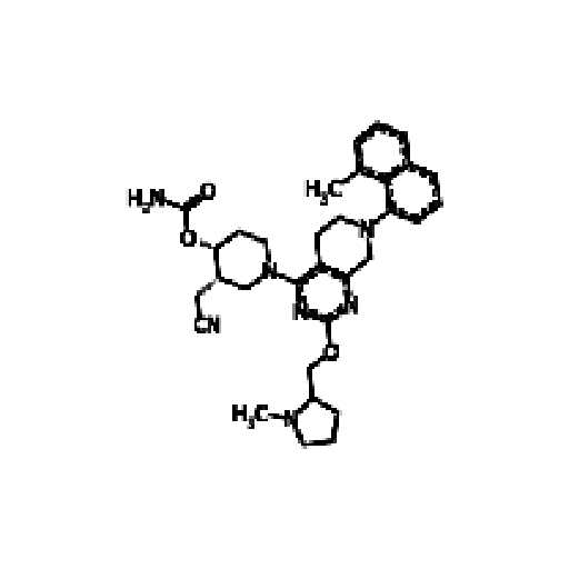 Cc1cccc2cccc(N3CCc4c(nc(OCC5CCCN5C)nc4N4CC[C@@H](OC(N)=O)[C@@H](CC#N)C4)C3)c12